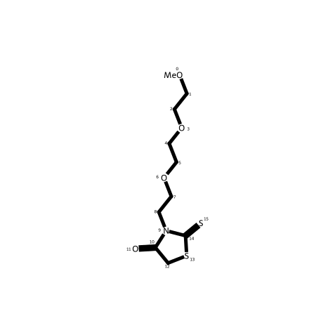 COCCOCCOCCN1C(=O)CSC1=S